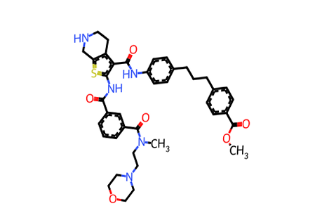 COC(=O)c1ccc(CCCc2ccc(NC(=O)c3c(NC(=O)c4cccc(C(=O)N(C)CCN5CCOCC5)c4)sc4c3CCNC4)cc2)cc1